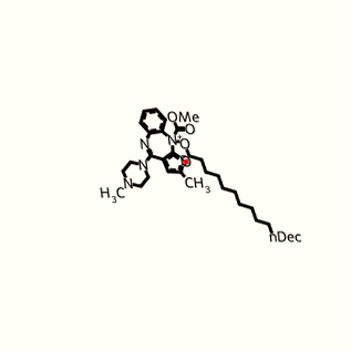 CCCCCCCCCCCCCCCCCCCC(=O)O[N+]1(C(=O)OC)c2ccccc2N=C(N2CCN(C)CC2)c2cc(C)sc21